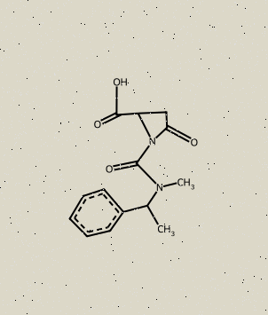 CC(c1ccccc1)N(C)C(=O)N1C(=O)CC1C(=O)O